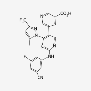 Cc1cc(C(F)(F)F)nn1-c1nc(Nc2cc(F)cc(C#N)c2)ncc1-c1cncc(C(=O)O)c1